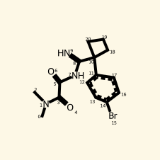 CN(C)C(=O)C(=O)NC(=N)C1(c2ccc(Br)cc2)CCC1